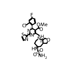 COC(=O)C1=C(CN2CC[C@H](NS(N)(=O)=O)CC3COC[C@H]32)NC(c2nccs2)=N[C@H]1c1ccc(F)cc1Cl